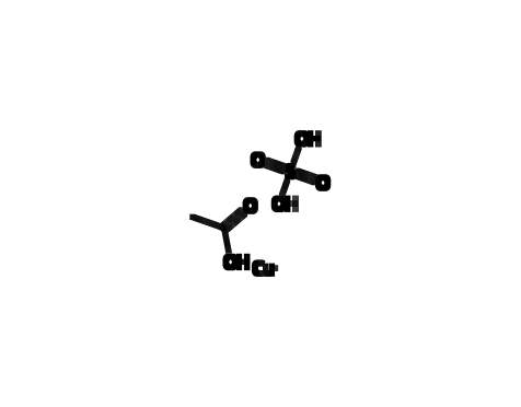 CC(=O)O.O=S(=O)(O)O.[Cu]